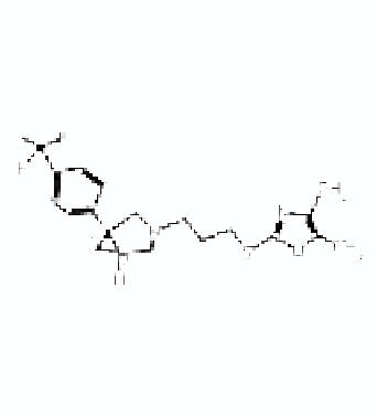 Cc1nc(SCCCN2C[C@@H]3C[C@]3(c3ccc(C(F)(F)F)cc3)C2)oc1C